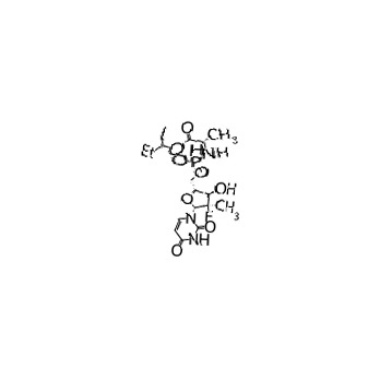 CCC(I)OC(=O)[C@H](C)N[PH](=O)OC[C@H]1O[C@@H](n2ccc(=O)[nH]c2=O)[C@](C)(F)[C@@H]1O